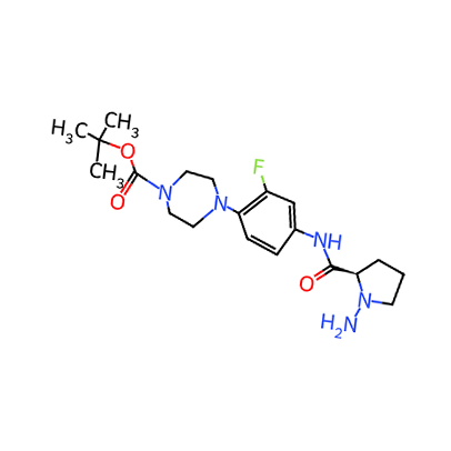 CC(C)(C)OC(=O)N1CCN(c2ccc(NC(=O)[C@H]3CCCN3N)cc2F)CC1